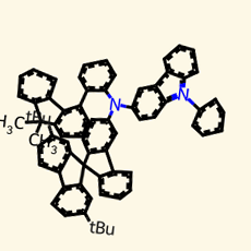 CC(C)(C)c1ccc2c(c1)C1(c3ccccc3-c3cc(N(c4ccc5c(c4)c4ccccc4n5-c4ccccc4)c4ccccc4-c4cccc5c4-c4ccccc4C5(C)C)ccc31)c1cc(C(C)(C)C)ccc1-2